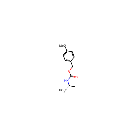 COc1ccc(COC(=O)N[C@H](C)C(=O)O)cc1